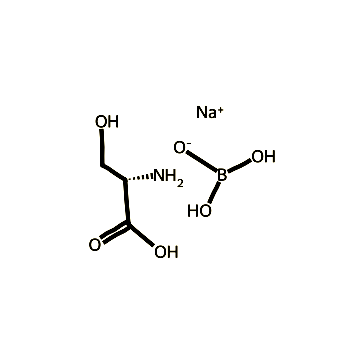 N[C@@H](CO)C(=O)O.[Na+].[O-]B(O)O